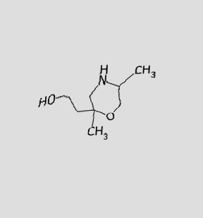 CC1COC(C)(CCO)CN1